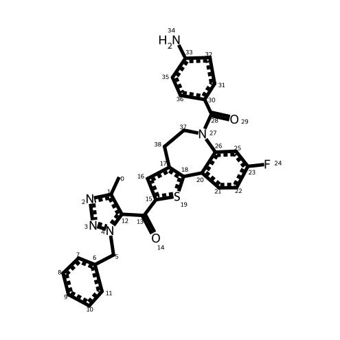 Cc1nnn(Cc2ccccc2)c1C(=O)c1cc2c(s1)-c1ccc(F)cc1N(C(=O)c1ccc(N)cc1)CC2